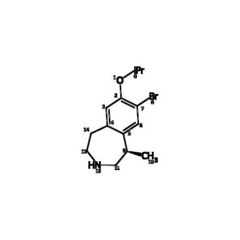 CC(C)Oc1cc2c(cc1Br)[C@@H](C)CNCC2